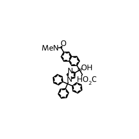 CNC(=O)c1ccc2cc([C@@](O)(CC(=O)O)c3cn(C(c4ccccc4)(c4ccccc4)c4ccccc4)cn3)ccc2c1